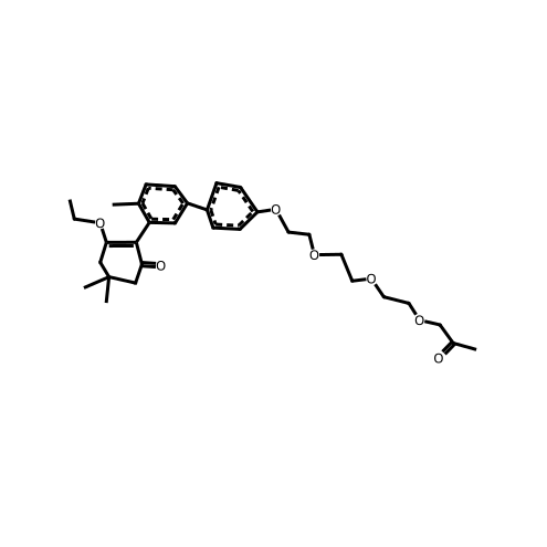 CCOC1=C(c2cc(-c3ccc(OCCOCCOCCOCC(C)=O)cc3)ccc2C)C(=O)CC(C)(C)C1